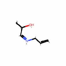 C=CC/N=C\C(C)O